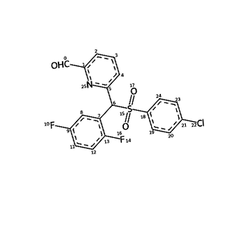 O=Cc1cccc(C(c2cc(F)ccc2F)S(=O)(=O)c2ccc(Cl)cc2)n1